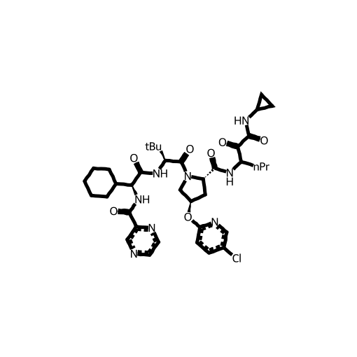 CCCC(NC(=O)[C@@H]1C[C@@H](Oc2ccc(Cl)cn2)CN1C(=O)[C@@H](NC(=O)[C@@H](NC(=O)c1cnccn1)C1CCCCC1)C(C)(C)C)C(=O)C(=O)NC1CC1